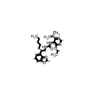 CCCCC[C@@H](CNC(=O)Nc1c(OCC)ncnc1N(C)C)c1cccc2c1OCO2